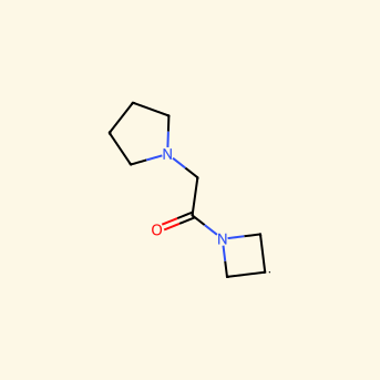 O=C(CN1CCCC1)N1C[CH]C1